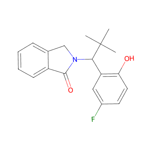 CC(C)(C)C(c1cc(F)ccc1O)N1Cc2ccccc2C1=O